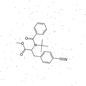 COC(=O)C(Cc1ccc(C#N)cc1)N(C(=O)c1ccccc1)C(C)(C)C